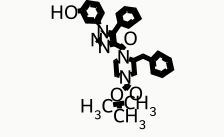 CC(C)(C)OC(=O)N1CCN(C(=O)c2nnn(-c3cccc(O)c3)c2-c2ccccc2)C(Cc2ccccc2)C1